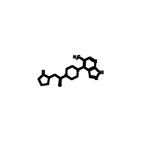 Cc1cnc2[nH]ncc2c1N1CCN(C(=O)CC2CCCN2)CC1